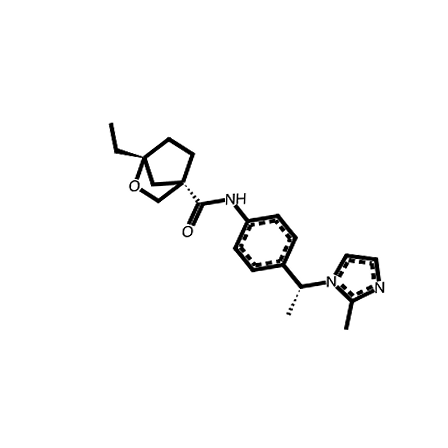 CC[C@]12CC[C@@](C(=O)Nc3ccc([C@@H](C)n4ccnc4C)cc3)(CO1)C2